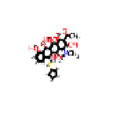 CC(=O)C1=C(O)[C@@H](N(C)C)C2[C@@H](O)C3C(=C(O)[C@]2(O)C1=O)C(=O)c1c(O)cccc1[C@@H]3CSC1CCCC1